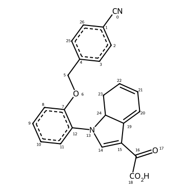 N#Cc1ccc(COc2ccccc2N2C=C(C(=O)C(=O)O)C3=CC=CCC32)cc1